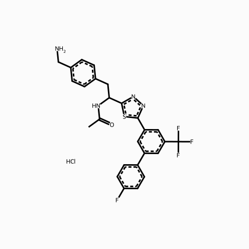 CC(=O)NC(Cc1ccc(CN)cc1)c1nnc(-c2cc(-c3ccc(F)cc3)cc(C(F)(F)F)c2)s1.Cl